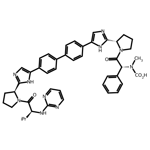 CC(C)[C@H](Nc1ncccn1)C(=O)N1CCC[C@H]1c1ncc(-c2ccc(-c3ccc(-c4cnc([C@@H]5CCCN5C(=O)[C@@H](c5ccccc5)N(C)C(=O)O)[nH]4)cc3)cc2)[nH]1